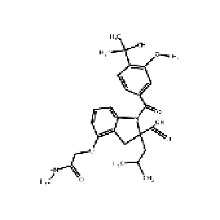 CNC(=O)COc1cccc2c1CC(CC(C)C)(C(=O)O)N2C(=O)c1ccc(C(C)(C)C)c(OC)c1